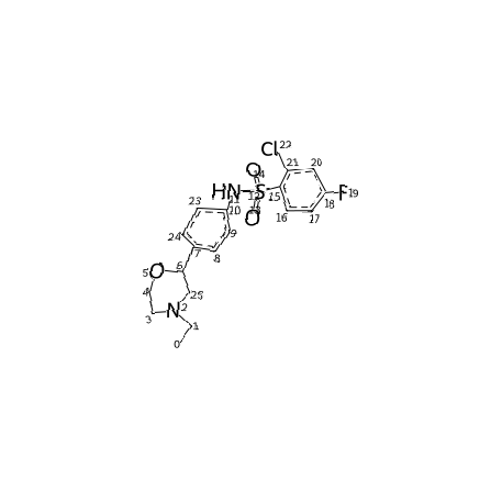 CCN1CCOC(c2ccc(NS(=O)(=O)c3ccc(F)cc3Cl)cc2)C1